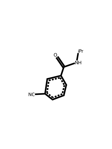 CC(C)NC(=O)c1cccc(C#N)c1